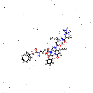 CC[C@H](C)[C@@H]([C@@H](CC(=O)N1CCC[C@H]1[C@H](OC)[C@@H](C)C(=O)N[C@@H](Cc1ccccc1)C(=O)NS(=O)(=O)CCCNC(=O)OC[C@H]1[C@@H]2CCC#CCC[C@@H]21)OC)N(C)C(=O)[C@@H](N=C(N(C)C)N(C)C)C(C)C